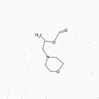 CC(CN1CCOCC1)OC=O